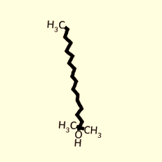 CCCCCCCCCCCCCCCCC(C)(C)O